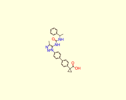 Cc1nnn(-c2ccc(-c3ccc(C4(C(=O)O)CC4)cc3)cc2)c1NC(=O)NC(C)c1ccccc1